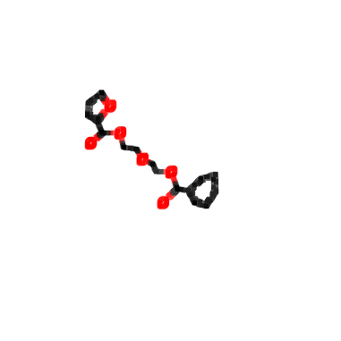 O=C(OCCOCCOC(=O)c1ccco1)c1ccccc1